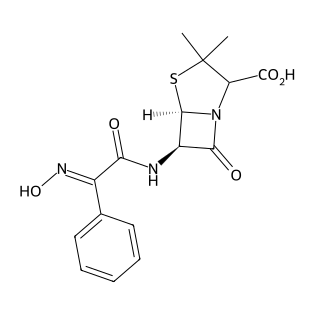 CC1(C)S[C@@H]2[C@H](NC(=O)/C(=N/O)c3ccccc3)C(=O)N2C1C(=O)O